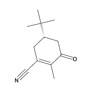 CC1=C(C#N)C[C@H](C(C)(C)C)CC1=O